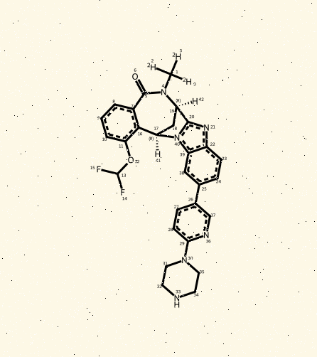 [2H]C([2H])([2H])N1C(=O)c2cccc(OC(F)F)c2[C@H]2C[C@@H]1c1nc3ccc(-c4ccc(N5CCNCC5)nc4)cc3n12